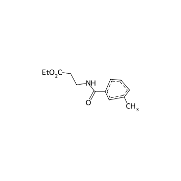 CCOC(=O)CCNC(=O)c1cccc(C)c1